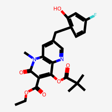 CCOC(=O)c1c(OC(=O)C(C)(C)C)c2ncc(Cc3ccc(F)cc3O)cc2n(C)c1=O